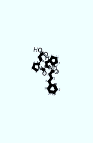 O=C(O)C=C[C@@H]1CCCN1C(=O)[C@@H]1C[C@@H]2CCC[C@@H]2N1C(=O)CCCc1ccccc1